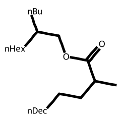 CCCCCCCCCCCCC(C)C(=O)OCC(CCCC)CCCCCC